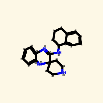 c1ccc2c(c1)CCCC2NC1=Nc2ccccc2NC12CCNCC2